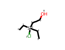 CC[Si](Cl)(CC)CCO